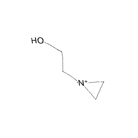 OCC[N+]1CC1